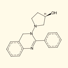 O[C@@H]1CCN(N2Cc3ccccc3N=C2c2ccccc2)C1